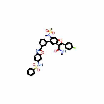 CNC(=O)c1c(-c2ccc(F)cc2)oc2cc(N(C)S(C)(=O)=O)c(-c3cccc(-c4nc5ccc(NS(=O)(=O)c6ccccc6)cc5o4)c3)cc12